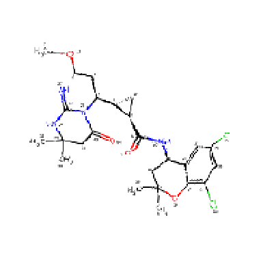 COCC[C@@H]([C@@H]1C[C@H]1C(=O)NC1CC(C)(C)Oc2c(Cl)cc(Cl)cc21)N1C(=N)NC(C)(C)CC1=O